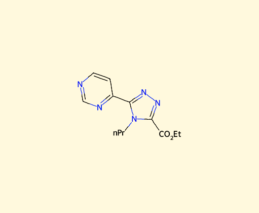 CCCn1c(C(=O)OCC)nnc1-c1ccncn1